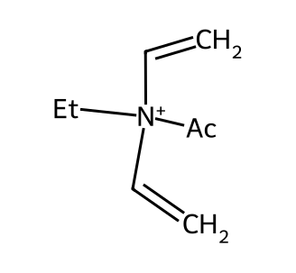 C=C[N+](C=C)(CC)C(C)=O